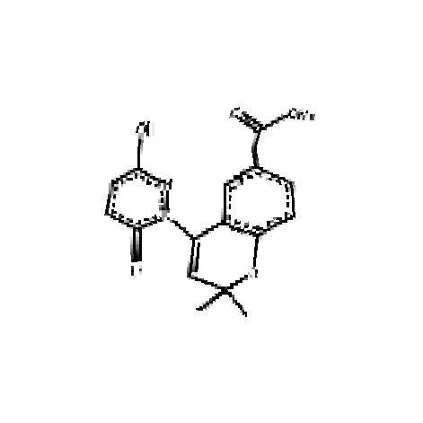 COC(=O)c1ccc2c(c1)C(n1nc(O)ccc1=O)=CC(C)(C)O2